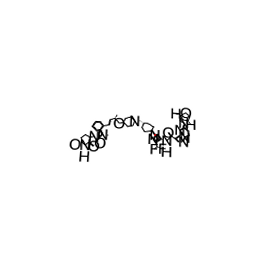 C[C@H](/C=C/c1cccc2c1n(C)c(=O)n2C1CCC(=O)NC1=O)OC1CCN(C[C@H]2CC[C@H](n3cc(NC(=O)c4cnn5ccc(N6C[C@H]7C[C@@H]6CO7)nc45)c(C(F)F)n3)CC2)CC1